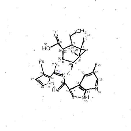 CC[C@H]1[C@@H]2C[C@@H]2[C@@H](I)[C@H](N/C(=N/C(=N)c2c[nH]c3ncc(F)cc23)c2[nH]ccc2F)[C@H]1C(=O)O